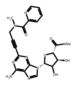 CNC(=O)[C@H]1O[C@@H](n2cnc3c(N)nc(C#CCN(C)C(=O)c4ccccn4)nc32)C(O)[C@@H]1O